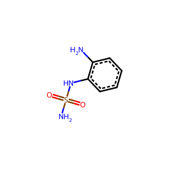 Nc1ccccc1NS(N)(=O)=O